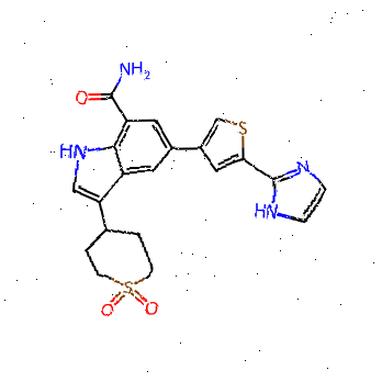 NC(=O)c1cc(-c2csc(-c3ncc[nH]3)c2)cc2c(C3CCS(=O)(=O)CC3)c[nH]c12